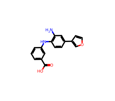 Nc1cc(-c2ccoc2)ccc1Nc1cccc(C(=O)O)c1